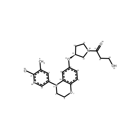 Cc1cc(N2CCOc3ccc(O[C@H]4CCN(C(=O)CCO)C4)cc32)cnc1Cl